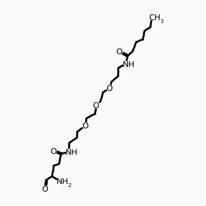 CCCCCCC(=O)NCCCOCCOCCOCCCNC(=O)CCC(N)C=O